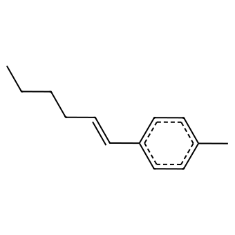 CCCC/C=C/c1ccc(C)cc1